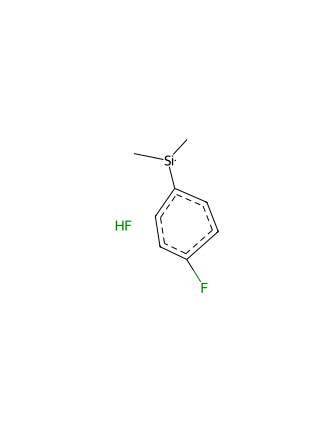 C[Si](C)c1ccc(F)cc1.F